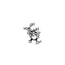 N=C=O.N=C=O.O=C(O)C(=O)O.OB(O)O.[LiH]